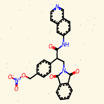 O=C(Nc1ccc2cnccc2c1)C(CN1C(=O)c2ccccc2C1=O)c1ccc(CO[N+](=O)[O-])cc1